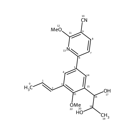 CC=Cc1cc(-c2ccc(C#N)c(OC)n2)cc(C(O)C(C)O)c1OC